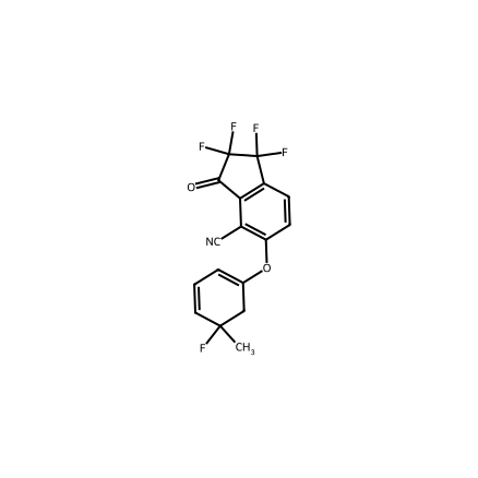 CC1(F)C=CC=C(Oc2ccc3c(c2C#N)C(=O)C(F)(F)C3(F)F)C1